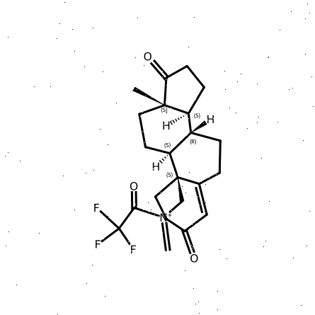 C=[N+](C[C@]12CCC(=O)C=C1CC[C@@H]1[C@@H]2CC[C@]2(C)C(=O)CC[C@@H]12)C(=O)C(F)(F)F